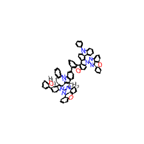 Cc1c(-c2c(C)c3c4oc5ccccc5c4ccc3n2-c2nc3c4c(cccc4n2)Oc2ccccc2-3)n(-c2ccccc2)c2cc(-c3cccc4c3oc3ccc5c(c6ccc7c(c8ccccc8n7-c7ccccc7)c6n5-c5nc6c7c(cccc7n5)Oc5ccccc5-6)c34)ccc12